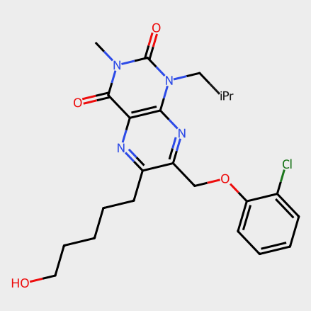 CC(C)Cn1c(=O)n(C)c(=O)c2nc(CCCCCO)c(COc3ccccc3Cl)nc21